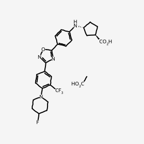 CC(=O)O.O=C(O)[C@@H]1CC[C@@H](Nc2ccc(-c3nc(-c4ccc(N5CCC(F)CC5)c(C(F)(F)F)c4)no3)cc2)C1